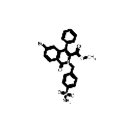 COC(=O)c1c(-c2ccccc2)c2cc(Br)ccc2c(=O)n1Cc1ccc(S(N)(=O)=O)cc1